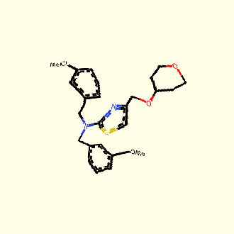 COc1cccc(CN(Cc2cccc(OC)c2)c2nc(COC3CCOCC3)cs2)c1